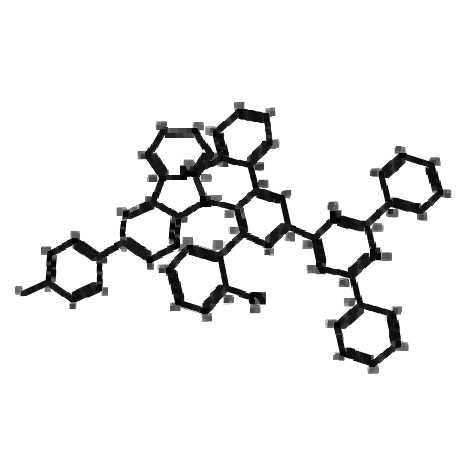 Cc1ccc(-c2ccc3c(c2)c2ccccc2n3-c2c(-c3ccccc3C#N)cc(-c3nc(-c4ccccc4)nc(-c4ccccc4)n3)cc2-c2ccccc2C#N)cc1